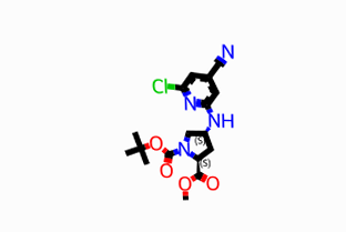 COC(=O)[C@@H]1C[C@H](Nc2cc(C#N)cc(Cl)n2)CN1C(=O)OC(C)(C)C